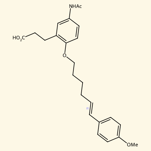 COc1ccc(/C=C/CCCCOc2ccc(NC(C)=O)cc2CCC(=O)O)cc1